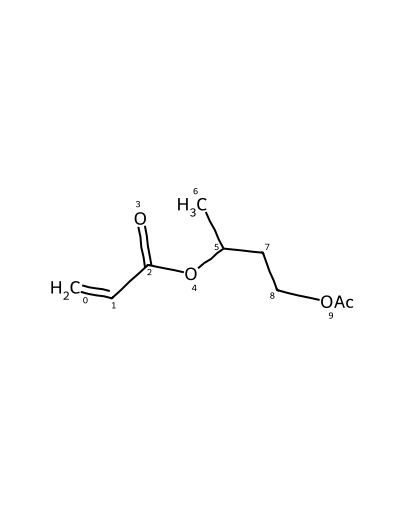 C=CC(=O)OC(C)CCOC(C)=O